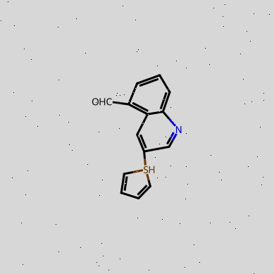 O=Cc1cccc2ncc([SH]3C=CC=C3)cc12